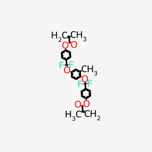 C=C(C)C(=O)Oc1ccc(C(F)(F)Oc2ccc(OC(F)(F)c3ccc(OC(=O)C(=C)C)cc3)c(C)c2)cc1